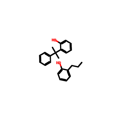 CC(C)(c1ccccc1)c1ccccc1O.CCCc1ccccc1O